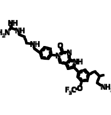 CC(CN)Cc1cc(OC(F)(F)F)cc(-c2cc3cn(-c4ccc(CNCCCNC(=N)N)cc4)c(=O)nc3[nH]2)c1